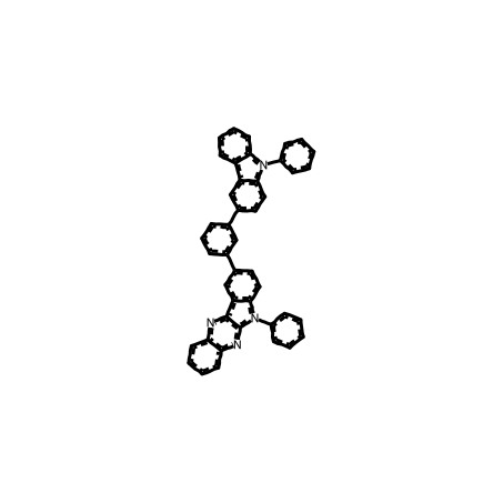 c1ccc(-n2c3ccccc3c3cc(-c4cccc(-c5ccc6c(c5)c5nc7ccccc7nc5n6-c5ccccc5)c4)ccc32)cc1